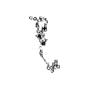 CC1(C)CCC(CN2CCN(c3ccc(C(=O)NS(=O)(=O)c4ccc(NC[C@H]5CC[C@H](N6CCN(CCCCCCCSc7cccc8c7CN(C7CCC(=O)NC7=O)C8=O)CC6)CC5)c([N+](=O)[O-])c4)c(Oc4cnc5[nH]ccc5c4)c3)CC2)=C(c2ccc(Cl)cc2)C1